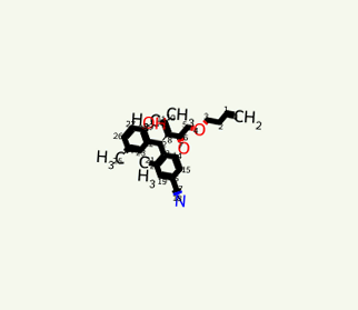 C=CCCOCC(=O)C(=C(C)C)[C@H](c1ccc(C#N)cc1C)c1cc(C)ccc1O